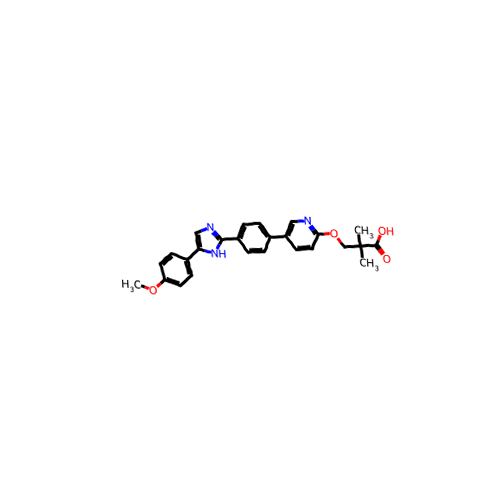 COc1ccc(-c2cnc(-c3ccc(-c4ccc(OCC(C)(C)C(=O)O)nc4)cc3)[nH]2)cc1